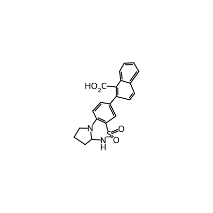 O=C(O)c1c(-c2ccc3c(c2)S(=O)(=O)NC2CCCN32)ccc2ccccc12